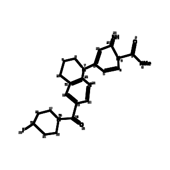 CNC(=O)n1ccc(N2CCCc3cc(C(=O)N4CCC(F)CC4)cnc32)cc1=N